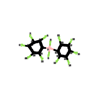 Fc1c(F)c(F)c([B-](F)(F)c2c(F)c(F)c(F)c(F)c2F)c(F)c1F